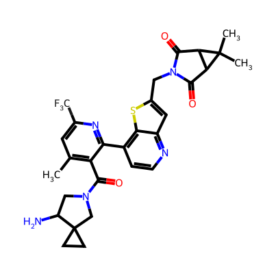 Cc1cc(C(F)(F)F)nc(-c2ccnc3cc(CN4C(=O)C5C(C4=O)C5(C)C)sc23)c1C(=O)N1CC(N)C2(CC2)C1